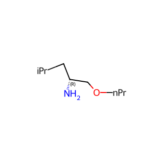 CCCOC[C@H](N)CC(C)C